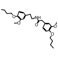 CCCCOc1ccc(CCNC(=O)Cc2ccc(OCCCC)c(OC)c2)cc1OC